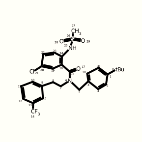 CC(C)(C)c1ccc(CN(CCc2cccc(C(F)(F)F)c2)C(=O)c2cc(Cl)ccc2NS(C)(=O)=O)cc1